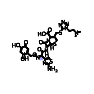 CN(C)CCn1nnnc1SCC1=C(C(=O)O)N2C(=O)[C@@H](NC(=O)/C(=N\OCc3cc(=O)c(O)cn3O)c3csc(N)n3)[C@H]2SC1